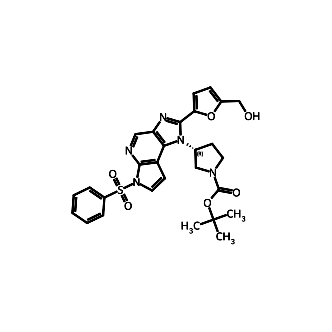 CC(C)(C)OC(=O)N1CC[C@@H](n2c(-c3ccc(CO)o3)nc3cnc4c(ccn4S(=O)(=O)c4ccccc4)c32)C1